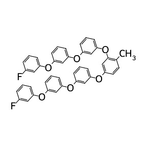 Cc1ccc(Oc2cccc(Oc3cccc(Oc4cccc(F)c4)c3)c2)cc1Oc1cccc(Oc2cccc(Oc3cccc(F)c3)c2)c1